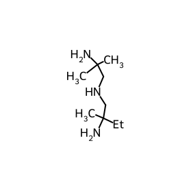 CCC(C)(N)CNCC(C)(C)N